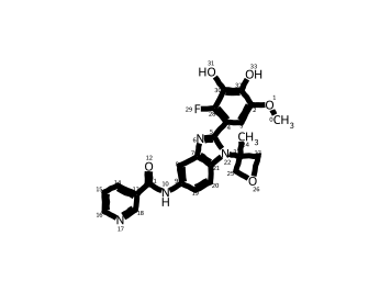 COc1cc(-c2nc3cc(NC(=O)c4cccnc4)ccc3n2C2(C)COC2)c(F)c(O)c1O